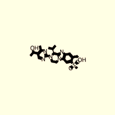 Cc1nc(N2CCn3c(nc4cc(CO)c(S(C)(=O)=O)cc43)[C@@H]2C(C)C)ncc1C(C)O